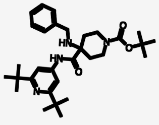 CC(C)(C)OC(=O)N1CCC(NCc2ccccc2)(C(=O)Nc2cc(C(C)(C)C)nc(C(C)(C)C)c2)CC1